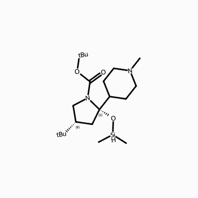 CN1CCC([C@@]2(O[SiH](C)C)C[C@H](C(C)(C)C)CN2C(=O)OC(C)(C)C)CC1